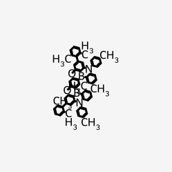 Cc1ccc(N2c3ccc(C)cc3B3c4cc5c(cc4Oc4cc(-c6c(C)cccc6C)cc2c43)Oc2cc(-c3c(C)cccc3C)cc3c2B5c2c(C)cccc2N3c2ccc(C)cc2)cc1